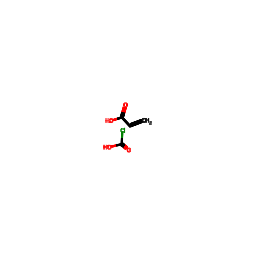 C=CC(=O)O.O=C(O)Cl